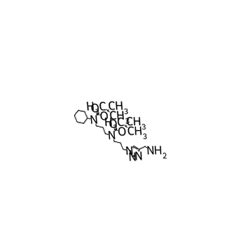 CC(C)(C)OC(=O)N(CCCN(C(=O)OC(C)(C)C)C1CCCCC1)CCCn1cc(CN)nn1